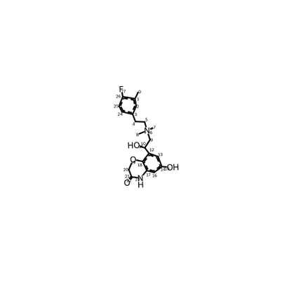 Cc1cc(CC[N+](C)(C)CC(O)c2cc(O)cc3c2OCC(=O)N3)ccc1F